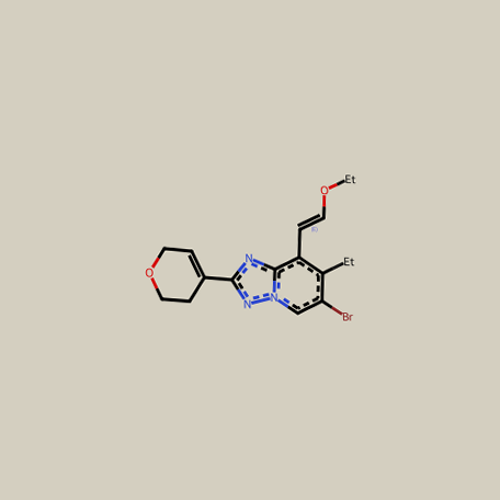 CCO/C=C/c1c(CC)c(Br)cn2nc(C3=CCOCC3)nc12